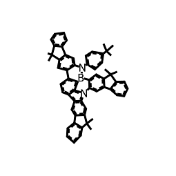 CC(C)(C)c1ccc(N2B3c4cc5c(cc4-n4c6cc7c(cc6c6ccc(c3c64)-c3cc4c(cc32)-c2ccccc2C4(C)C)-c2ccccc2C7(C)C)-c2ccccc2C5(C)C)cc1